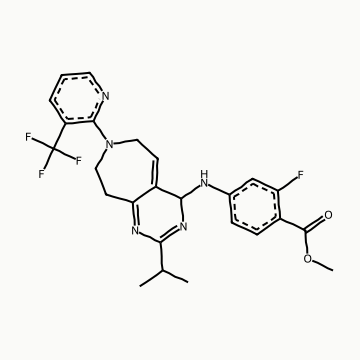 COC(=O)c1ccc(NC2N=C(C(C)C)N=C3CCN(c4ncccc4C(F)(F)F)CC=C32)cc1F